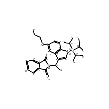 CCCOc1ccc2c(c1)c(C(C)N1C(=O)c3ccccc3C1=O)cn2[Si](C(C)C)(C(C)C)C(C)C